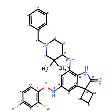 CC1(C)CN(Cc2ccccc2)CCC1Nc1cc(NOc2ccc(F)cc2F)cc2c1NC(=O)C21CCC1